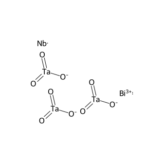 [Bi+3].[Nb].[O]=[Ta](=[O])[O-].[O]=[Ta](=[O])[O-].[O]=[Ta](=[O])[O-]